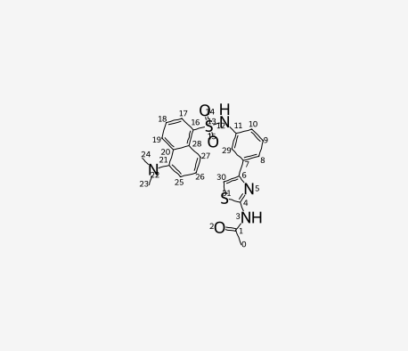 CC(=O)Nc1nc(-c2cccc(NS(=O)(=O)c3cccc4c(N(C)C)cccc34)c2)cs1